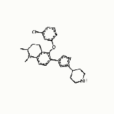 CC1CCc2c(ccc(-c3cnn(C4CCNCC4)c3)c2Oc2cccc(Cl)c2)N1C